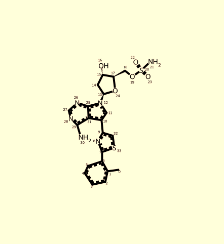 Cc1ccccc1-c1nc(-c2cn([C@H]3C[C@H](O)[C@@H](COS(N)(=O)=O)O3)c3ncnc(N)c23)cs1